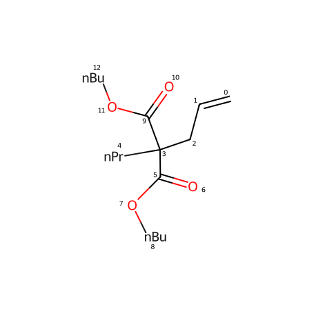 C=CCC(CCC)(C(=O)OCCCC)C(=O)OCCCC